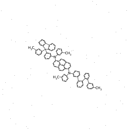 Cc1cccc(-c2ccccc2-c2ccccc2-c2cccc(N(c3cccc(C)c3)c3ccc4ccc5c(N(c6cccc(C)c6)c6cccc(C7(c8cccc(C)c8)c8ccccc8-c8ccccc87)c6)ccc6ccc3c4c65)c2)c1